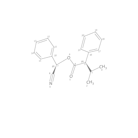 CC(C)[C@@H](C(=O)O[C@@H](C#N)c1ccccc1)c1ccccc1